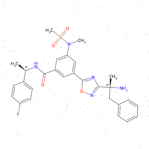 C[C@@H](NC(=O)c1cc(-c2nc([C@](C)(N)Cc3ccccc3)no2)cc(N(C)S(C)(=O)=O)c1)c1ccc(F)cc1